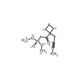 CC#CCC1(C(=O)CP(=O)(OC)OC)CCC1